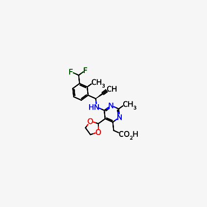 C#C[C@@H](Nc1nc(C)nc(CC(=O)O)c1C1OCCO1)c1cccc(C(F)F)c1C